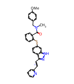 COc1ccc(CN(C)C(=O)c2ccccc2Sc2ccc3c(/C=C/c4ccccn4)n[nH]c3c2)cc1